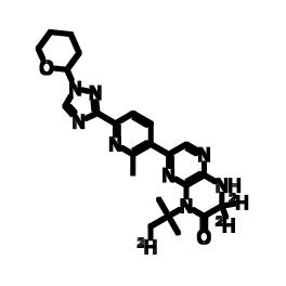 [2H]CC(C)(C)N1C(=O)C([2H])([2H])Nc2ncc(-c3ccc(-c4ncn(C5CCCCO5)n4)nc3C)nc21